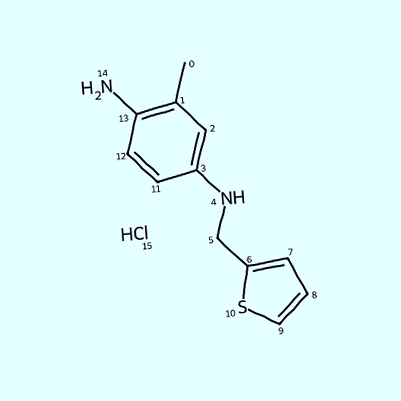 Cc1cc(NCc2cccs2)ccc1N.Cl